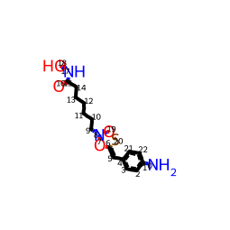 Nc1ccc(C=C2ON(CCCCCCC(=O)NO)OS2)cc1